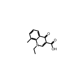 CCn1cc(C(=O)O)c(=O)c2cccc(C)c21